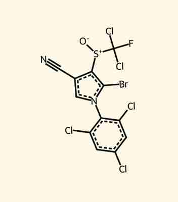 N#Cc1cn(-c2c(Cl)cc(Cl)cc2Cl)c(Br)c1[S+]([O-])C(F)(Cl)Cl